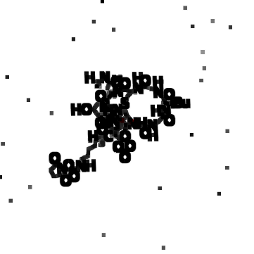 CC[C@H](C)[C@@H]1NC(=O)CNC(=O)C2Cc3c([nH]c4cc(OCCCCCCNC(=O)ON5C(=O)CCC5=O)ccc34)SCC(NC(=O)CNC1=O)C(=O)N[C@@H](CC(N)=O)C(=O)N1CC(O)CC1C(=O)NC([C@@H](C)C1COC(=O)O1)C(=O)N2